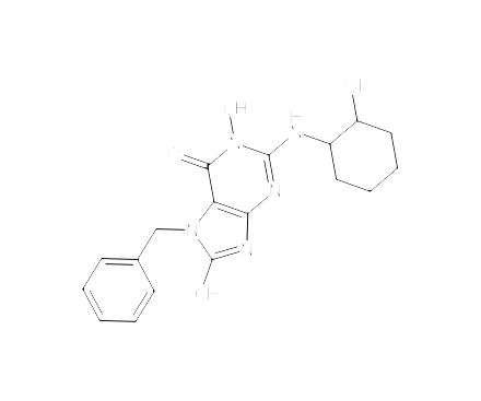 Cc1nc2nc(NC3CCCCC3O)n(C)c(=O)c2n1Cc1ccccc1